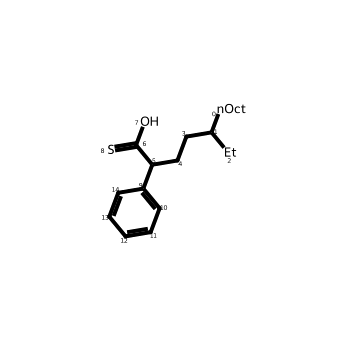 CCCCCCCCC(CC)CCC(C(O)=S)c1ccccc1